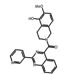 COc1ccc2c(c1O)CCN(C(=O)c1nc(-c3cccnc3)nc3ccccc13)C2